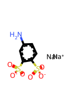 Nc1ccc(S(=O)(=O)[O-])c(S(=O)(=O)[O-])c1.[Na+].[Na+]